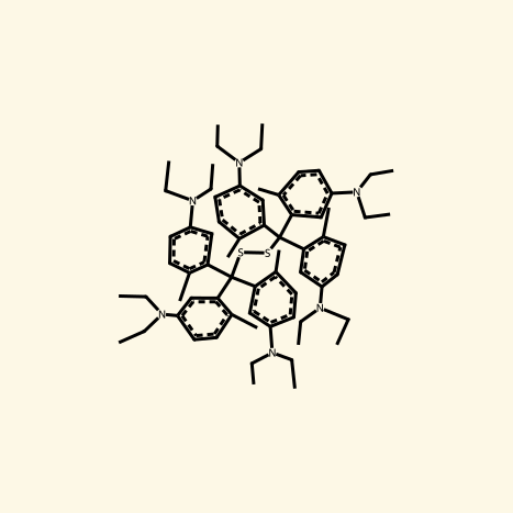 CCN(CC)c1ccc(C)c(C(SSC(c2cc(N(CC)CC)ccc2C)(c2cc(N(CC)CC)ccc2C)c2cc(N(CC)CC)ccc2C)(c2cc(N(CC)CC)ccc2C)c2cc(N(CC)CC)ccc2C)c1